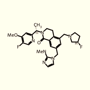 CNc1nccn1Cc1cc(CN2CC[C@@H](F)C2)c2c(c1)C(=O)N([C@@H](C)c1cc(OC)c(F)cn1)CC2